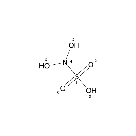 O=S(=O)(O)N(O)O